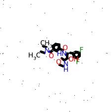 CCCN(CCC)C(=O)c1cccc(C(=O)N[C@@H](Cc2cc(F)cc(F)c2)[C@H](O)C2COCCN2)c1